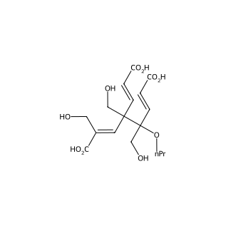 CCCOC(C=CC(=O)O)(CO)C(C=CC(=O)O)(C=C(CO)C(=O)O)CO